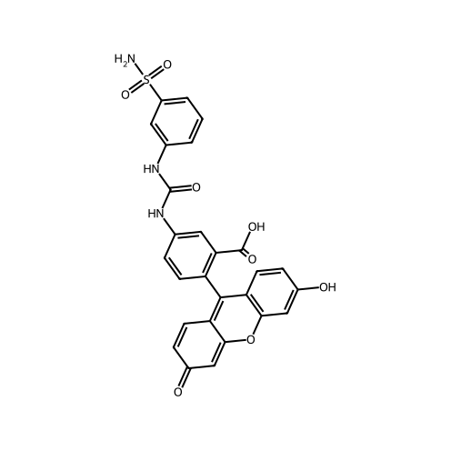 NS(=O)(=O)c1cccc(NC(=O)Nc2ccc(-c3c4ccc(=O)cc-4oc4cc(O)ccc34)c(C(=O)O)c2)c1